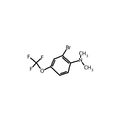 CN(C)c1ccc(OC(F)(F)F)cc1Br